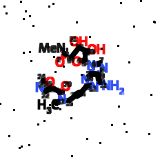 CNC(=O)[C@H]1O[C@@H](n2cnc3c(N)nc(C#CCN(C)C(=O)c4cnco4)nc32)[C@H](O)C1O